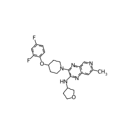 Cc1cc2nc(NC3CCOC3)c(N3CCC(Oc4ccc(F)cc4F)CC3)nc2cn1